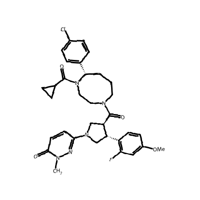 COc1ccc([C@@H]2CN(c3ccc(=O)n(C)n3)C[C@H]2C(=O)N2CCC[C@@H](c3ccc(Cl)cc3)N(C(=O)C3CC3)CC2)c(F)c1